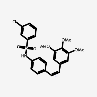 COc1cc(/C=C\c2ccc(NS(=O)(=O)c3cccc(Cl)c3)cc2)cc(OC)c1OC